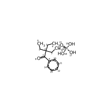 CCC(CC)(CC)C(=O)c1ccccc1.O=P(O)(O)O